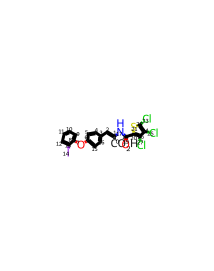 O=C(O)/C(=C\c1ccc(Oc2ccccc2I)cc1)NC(=O)c1sc(Cl)c(Cl)c1Cl